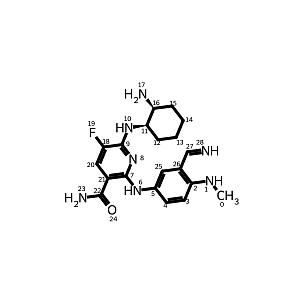 CNc1ccc(Nc2nc(N[C@@H]3CCCC[C@@H]3N)c(F)cc2C(N)=O)cc1C=N